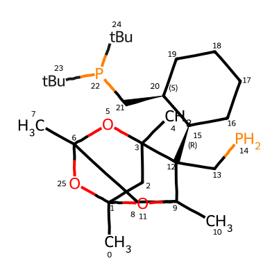 CC12CC3(C)OC(C)(CC(C)(O1)C3(CP)[C@@H]1CCCC[C@@H]1CP(C(C)(C)C)C(C)(C)C)O2